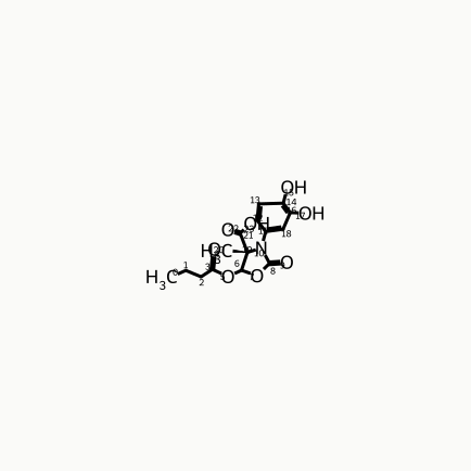 CCCC(=O)OC1OC(=O)N(c2ccc(O)c(O)c2)[C@@]1(C)C(=O)O